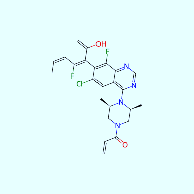 C=CC(=O)N1C[C@@H](C)N(c2ncnc3c(F)c(/C(C(=C)O)=C(F)/C=C\C)c(Cl)cc23)[C@@H](C)C1